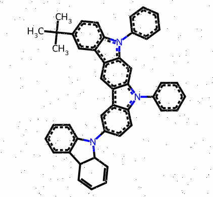 CC(C)(C)c1ccc2c(c1)c1cc3c4cc(N5c6ccccc6C6C=CC=CC65)ccc4n(-c4ccccc4)c3cc1n2-c1ccccc1